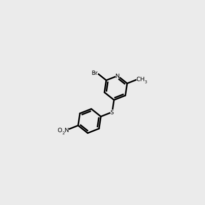 Cc1cc(Sc2ccc([N+](=O)[O-])cc2)cc(Br)n1